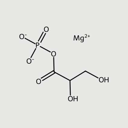 O=C(OP(=O)([O-])[O-])C(O)CO.[Mg+2]